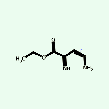 CCOC(=O)C(=N)/C=C\N